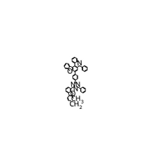 C=C/C=C\c1c(C)oc2c(-c3nc(-c4ccccc4)nc(-c4ccc(-c5cc6c(-c7ccccc7)nc7ccccc7c6c6c5oc5ccccc56)cc4)n3)cccc12